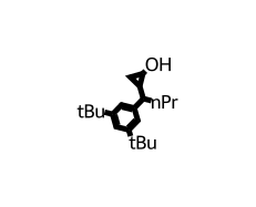 CCCC(c1cc(C(C)(C)C)cc(C(C)(C)C)c1)C1CC1O